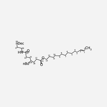 C/C=C/CCCCCCCCCCCOC(=O)CCC(CCCC)CCC(=O)NCCCCCCCCCCCC